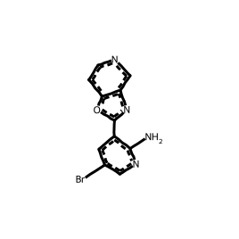 Nc1ncc(Br)cc1-c1nc2cnccc2o1